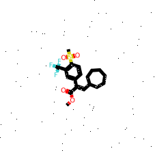 COC(=O)/C(=C/C1CCCCCC1)c1ccc(S(C)(=O)=O)c(C(F)(F)F)c1